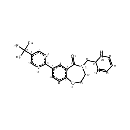 O=C1c2cc(-c3ncc(C(F)(F)F)cn3)ccc2OCCN1CC1N=CC=CN1